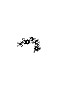 CN(C)C(=O)CN1Cc2ccc(N3CC[C@@H](Oc4ccc(Oc5ccc(F)cc5F)nc4)C3=O)cc2C1=O